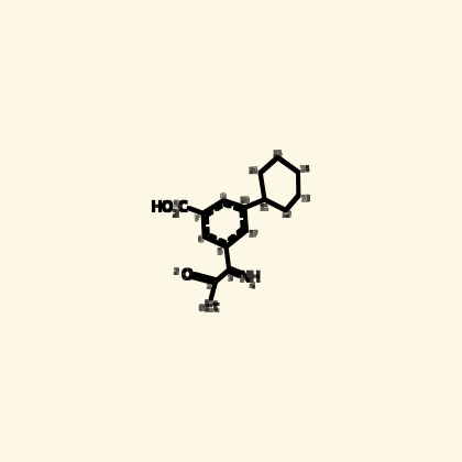 CCC(=O)C(=N)c1cc(C(=O)O)cc(C2CCCCC2)c1